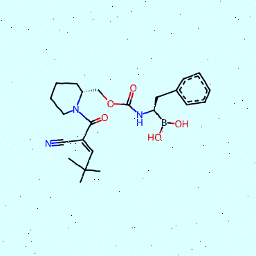 CC(C)(C)C=C(C#N)C(=O)N1CCCC[C@@H]1COC(=O)N[C@@H](Cc1ccccc1)B(O)O